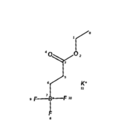 CCOC(=O)CC[B-](F)(F)F.[K+]